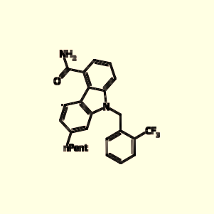 CCCCCc1c[c]c2c3c(C(N)=O)cccc3n(Cc3ccccc3C(F)(F)F)c2c1